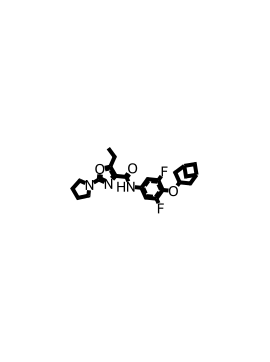 CCc1oc(N2CCCC2)nc1C(=O)Nc1cc(F)c(OC2CC3CC(C3)C2)c(F)c1